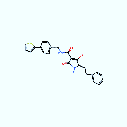 O=C(NCc1ccc(-c2cccs2)cc1)C1=C(O)C(CCc2ccccc2)NC1=O